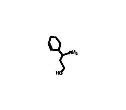 NC(CCO)C1C=CCCC1